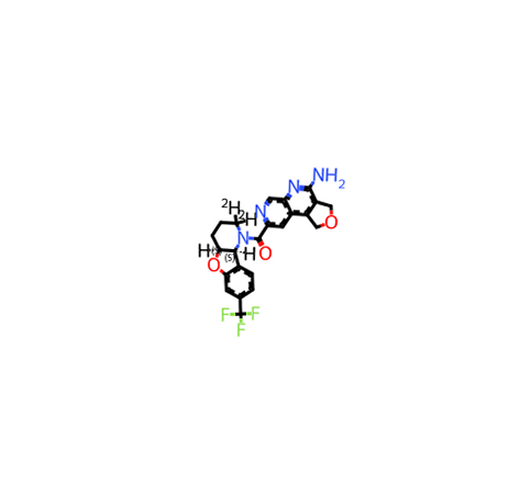 [2H]C1([2H])CC[C@@H]2Oc3cc(C(F)(F)F)ccc3[C@@H]2N1C(=O)c1cc2c3c(c(N)nc2cn1)COC3